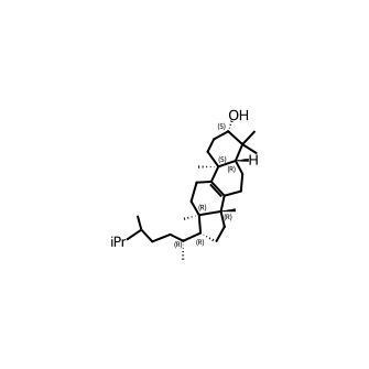 CC(C)C(C)CC[C@@H](C)[C@H]1CC[C@@]2(C)C3=C(CC[C@]12C)[C@@]1(C)CC[C@H](O)C(C)(C)[C@@H]1CC3